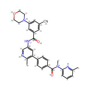 Cc1cccc(N(C)C(=O)c2ccc(-c3cc(NC(=O)c4cc(C#N)cc(N5CCOCC5)c4)cnc3C)cc2)n1